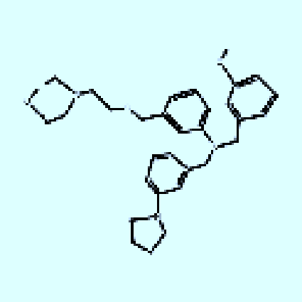 COc1cccc(CN(Cc2cccc(N3CCCC3)c2)c2cccc(COCCN3CCOCC3)c2)c1